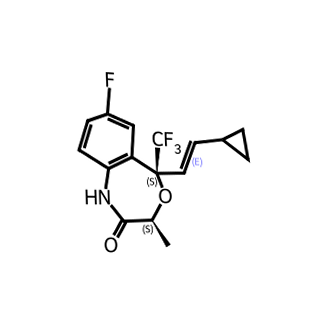 C[C@@H]1O[C@](/C=C/C2CC2)(C(F)(F)F)c2cc(F)ccc2NC1=O